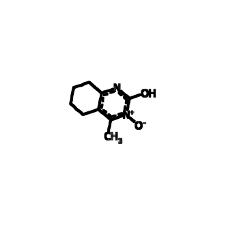 Cc1c2c(nc(O)[n+]1[O-])CCCC2